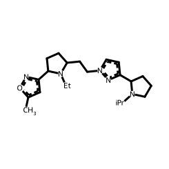 CCN1C(CCn2ccc(C3CCCN3C(C)C)n2)CCC1c1cc(C)on1